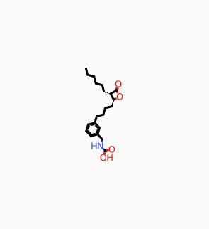 CCCCCC[C@@H]1C(=O)O[C@H]1CCCCc1cccc(CNC(=O)O)c1